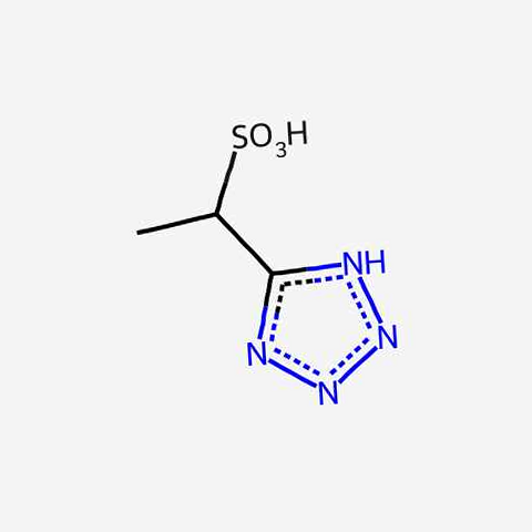 CC(c1nnn[nH]1)S(=O)(=O)O